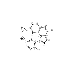 Cc1ccc(O)cc1-c1ncc2c(C)nc3ccc(C4CC4)nc3n12